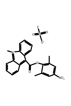 Cc1cc([N+](=O)[O-])cc(C)c1OC(=O)c1c2ccccc2[n+](C)c2ccccc12.O=S(=O)([O-])F